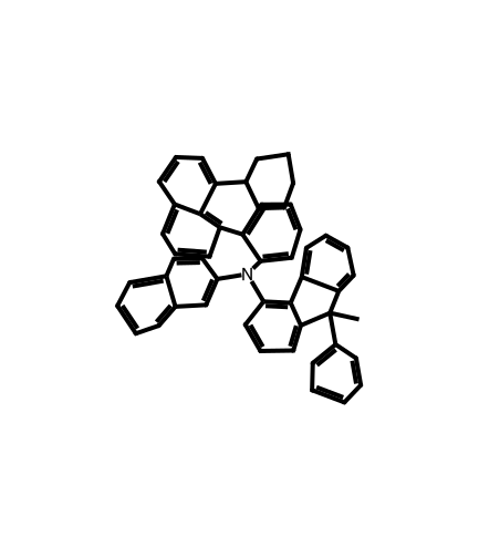 CC1(c2ccccc2)c2ccccc2-c2c(N(c3ccc4ccccc4c3)c3ccccc3-c3cccc4cccc(C5CCCCC5)c34)cccc21